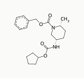 C[C@@H]1CC[C@H](NC(=O)OC2CCCC2)CN1C(=O)OCc1ccccc1